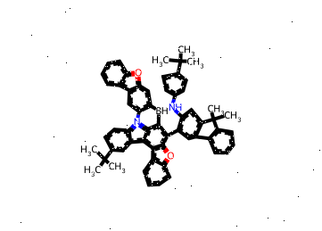 CC(C)(C)c1ccc(Nc2cc3c(cc2-c2c4c5c(c6cc(C(C)(C)C)ccc6n5-c5cc6c(cc5B4)oc4ccccc46)c4c2oc2ccccc24)-c2ccccc2C3(C)C)cc1